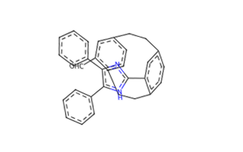 O=Cc1cc2ccc1CCc1ccc(cc1-c1nc(-c3ccccc3)c(-c3ccccc3)[nH]1)CC2